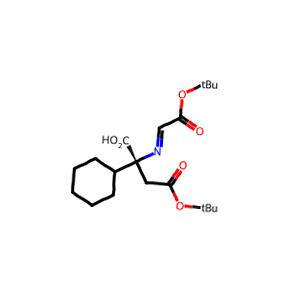 CC(C)(C)OC(=O)C=N[C@@](CC(=O)OC(C)(C)C)(C(=O)O)C1CCCCC1